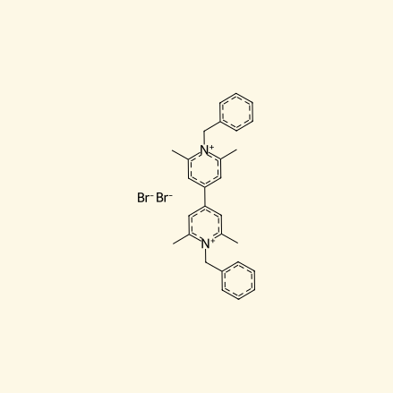 Cc1cc(-c2cc(C)[n+](Cc3ccccc3)c(C)c2)cc(C)[n+]1Cc1ccccc1.[Br-].[Br-]